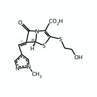 Cn1cc(/C=C2/C(=O)N3C(C(=O)O)=C(SCCO)S[C@H]23)cn1